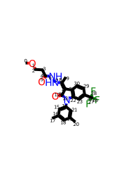 COCCC(=O)NN/C(C)=C1\C(=O)N(c2cc(C)cc(C)c2)c2cc(C(F)(F)F)ccc21